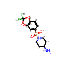 NC1CCN(S(=O)(=O)c2ccc3c(c2)OC(F)(F)O3)CC1